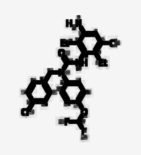 CCc1c(N)cc(Cl)c(CC)c1NC(=O)N(Cc1ccc(Cl)cc1)c1ccc(OC(F)F)cc1